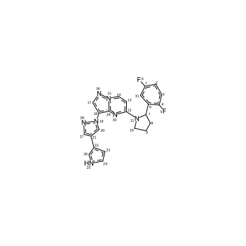 Fc1ccc(F)c(C2CCCN2c2ccn3ncc(-n4cc(-c5cc[nH]c5)cn4)c3n2)c1